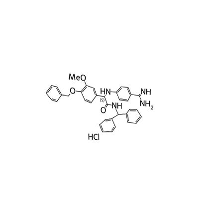 COc1cc([C@H](Nc2ccc(C(=N)N)cc2)C(=O)NC(c2ccccc2)c2ccccc2)ccc1OCc1ccccc1.Cl